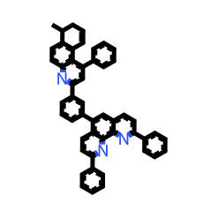 CC1CC=Cc2c1ccc1nc(-c3cccc(-c4cc5ccc(-c6ccccc6)nc5c5nc(-c6ccccc6)ccc45)c3)cc(-c3ccccc3)c21